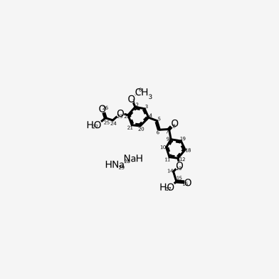 COc1cc(C=CC(=O)c2ccc(OCC(=O)O)cc2)ccc1OCC(=O)O.[NaH].[NaH]